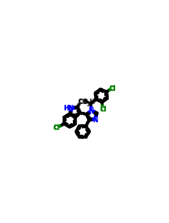 C[C@@H](c1ccc(Cl)cc1Cl)n1cnc(-c2ccccc2)c1-c1c(C(=O)O)[nH]c2cc(Cl)ccc12